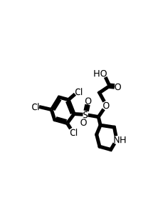 O=C(O)COC(C1CCCNC1)S(=O)(=O)c1c(Cl)cc(Cl)cc1Cl